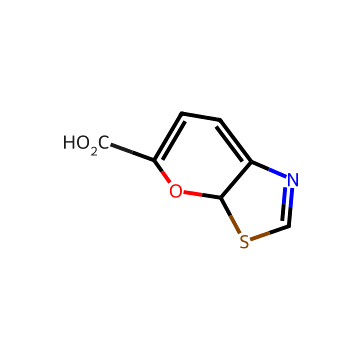 O=C(O)C1=CC=C2N=CSC2O1